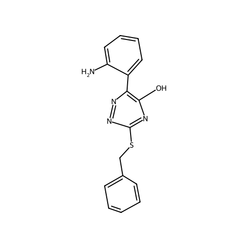 Nc1ccccc1-c1nnc(SCc2ccccc2)nc1O